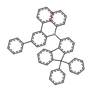 c1ccc(-c2ccc(N(c3ccccc3)c3cccc4c3-c3ccccc3C4(c3ccccc3)c3ccccc3)c(-c3ccccc3)c2)cc1